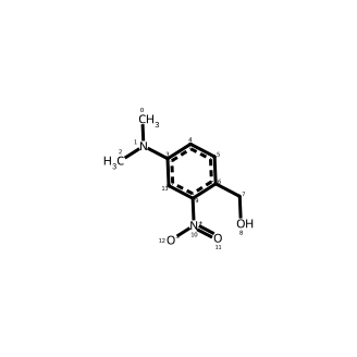 CN(C)c1ccc(CO)c([N+](=O)[O-])c1